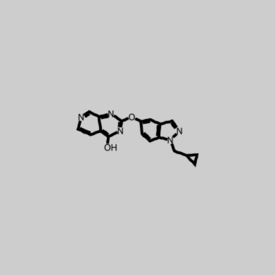 Oc1nc(Oc2ccc3c(cnn3CC3CC3)c2)nc2cnccc12